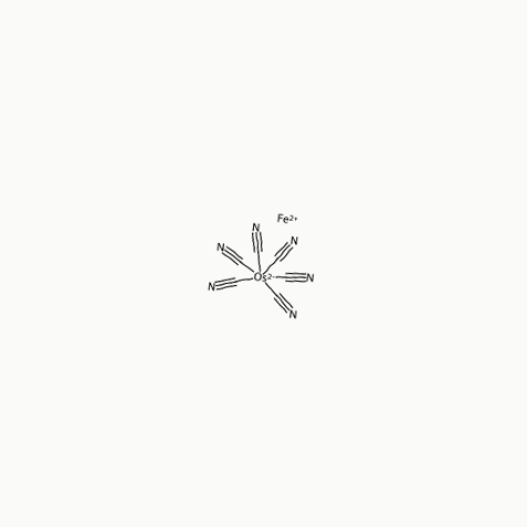 N#[C][Os-2]([C]#N)([C]#N)([C]#N)([C]#N)[C]#N.[Fe+2]